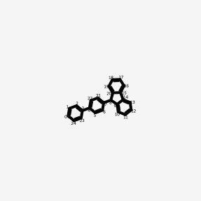 [c]1ccc(-c2ccc(C3c4ccccc4-c4ccccc43)cc2)cc1